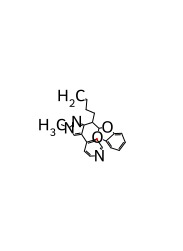 C=CCCC(c1nn(C)cc1-c1ccncc1)C1Oc2ccccc2O1